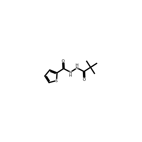 CC(C)(C)C(=O)NNC(=O)c1cccs1